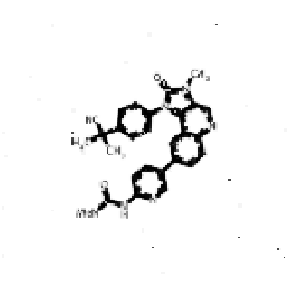 CNC(=O)Nc1ccc(-c2ccc3ncc4c(c3c2)n(-c2ccc(C(C)(C)C#N)cc2)c(=O)n4C)cn1